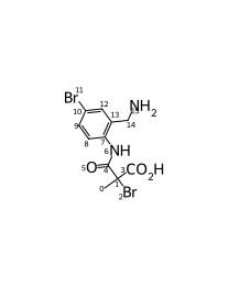 CC(Br)(C(=O)O)C(=O)Nc1ccc(Br)cc1CN